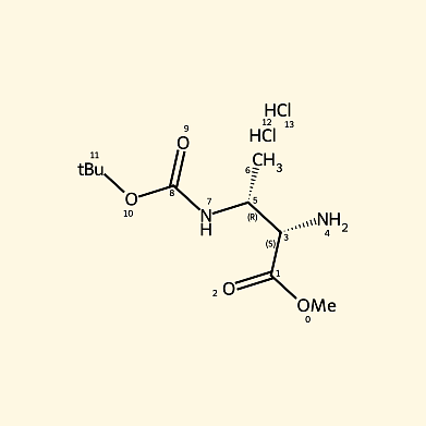 COC(=O)[C@@H](N)[C@@H](C)NC(=O)OC(C)(C)C.Cl.Cl